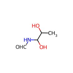 CC(O)C(O)NC=O